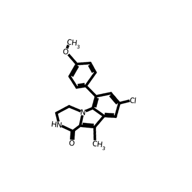 COc1ccc(-c2cc(Cl)cc3c(C)c4n(c23)CCNC4=O)cc1